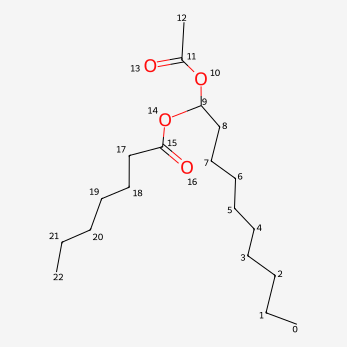 CCCCCCCCCC(OC(C)=O)OC(=O)CCCCCC